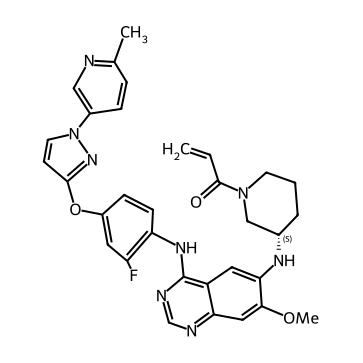 C=CC(=O)N1CCC[C@H](Nc2cc3c(Nc4ccc(Oc5ccn(-c6ccc(C)nc6)n5)cc4F)ncnc3cc2OC)C1